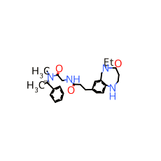 CCN1Cc2cc(CCC(=O)NCC(=O)N(C)[C@H](C)c3ccccc3)ccc2NCCC1=O